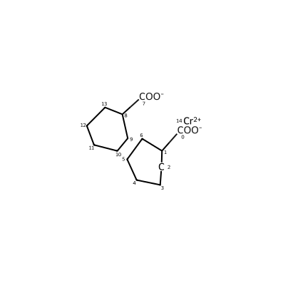 O=C([O-])C1CCCCC1.O=C([O-])C1CCCCC1.[Cr+2]